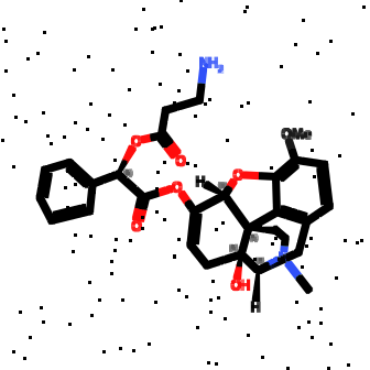 COc1ccc2c3c1O[C@H]1C(OC(=O)[C@H](OC(=O)CCN)c4ccccc4)=CC[C@@]4(O)[C@@H](C2)N(C)CC[C@]314